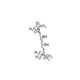 CC(C)N(CCCCC(S)CSCC(S)CCCCN(C(C)C)C(C)C)C(C)C